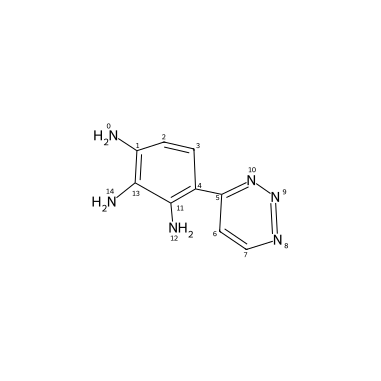 Nc1ccc(-c2ccnnn2)c(N)c1N